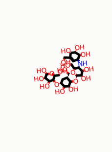 OCC1=CC(N[C@@H]2C(CO)O[C@@H](OC3[C@@H](CO)C[C@@H](OC4C(CO)OC(O)[C@H](O)C4O)C(O)[C@H]3O)[C@H](O)C2O)C(O)[C@@H](O)C1O